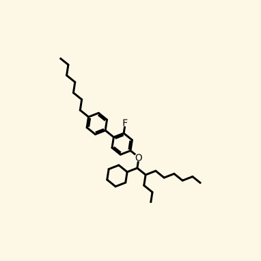 CCCCCCCc1ccc(-c2ccc(OC(C(CCC)CCCCCC)C3CCCCC3)cc2F)cc1